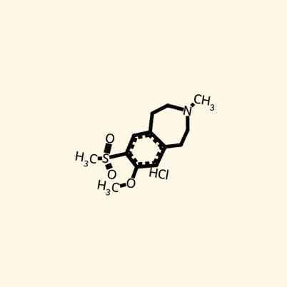 COc1cc2c(cc1S(C)(=O)=O)CCN(C)CC2.Cl